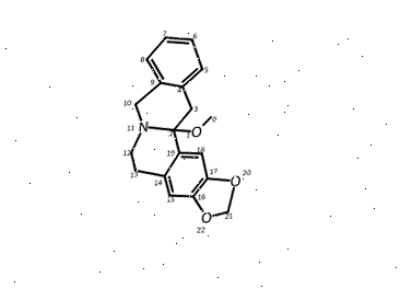 COC12Cc3ccccc3CN1CCc1cc3c(cc12)OCO3